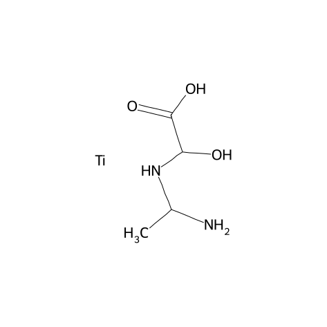 CC(N)NC(O)C(=O)O.[Ti]